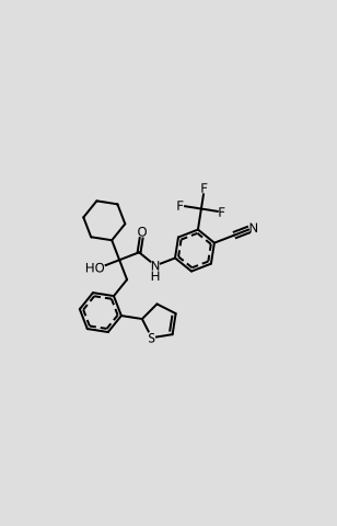 N#Cc1ccc(NC(=O)C(O)(Cc2ccccc2C2CC=CS2)C2CCCCC2)cc1C(F)(F)F